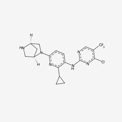 FC(F)(F)c1cnc(Nc2ccc(N3C[C@H]4C[C@@H]3CN4)nc2C2CC2)nc1Cl